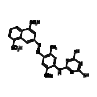 COc1cc(N=Nc2cc(S(=O)(=O)O)c3cccc(S(=O)(=O)O)c3c2)c(C)cc1Nc1nc(S)nc(S)n1